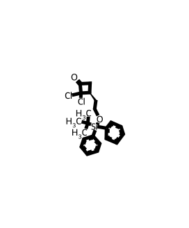 CC(C)(C)[Si](OCC[C@@H]1CC(=O)C1(Cl)Cl)(c1ccccc1)c1ccccc1